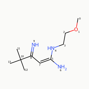 COCCN/C(N)=C\C(=N)C(C)(C)C